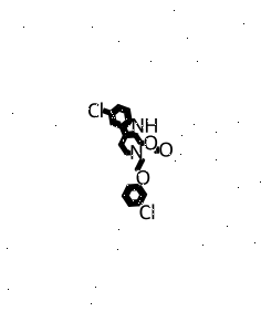 O=COC1c2[nH]c3ccc(Cl)cc3c2CCN1CCOc1cccc(Cl)c1